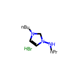 Br.CCCCN1C=CN(NCCC)C1